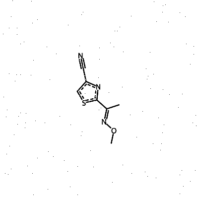 CO/N=C(\C)c1nc(C#N)cs1